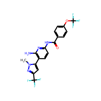 Cn1nc(C(F)(F)F)cc1-c1ccc(NC(=O)c2ccc(OC(F)(F)F)cc2)nc1N